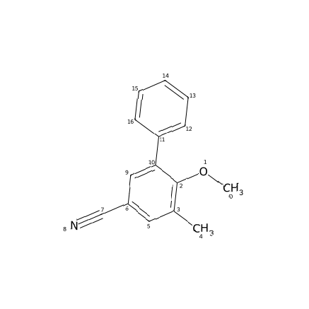 COc1c(C)cc(C#N)cc1-c1ccccc1